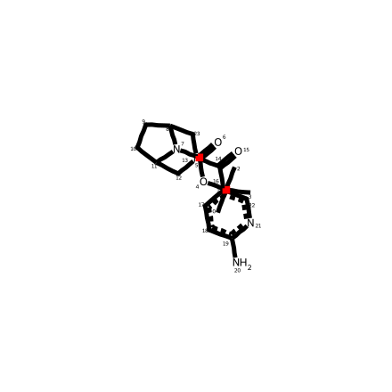 CC(C)(C)OC(=O)N1C2CCC1CN(C(=O)c1ccc(N)nc1)C2